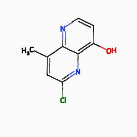 Cc1cc(Cl)nc2c(O)ccnc12